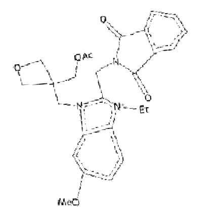 CC[n+]1c(CN2C(=O)c3ccccc3C2=O)n(CC2(COC(C)=O)COC2)c2cc(OC)ccc21